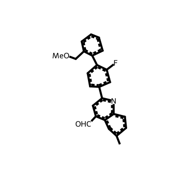 COCc1ccccc1-c1ccc(-c2cc(C=O)c3cc(C)ccc3n2)cc1F